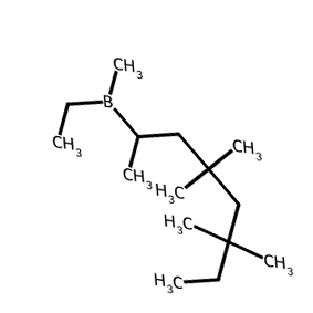 CCB(C)C(C)CC(C)(C)CC(C)(C)CC